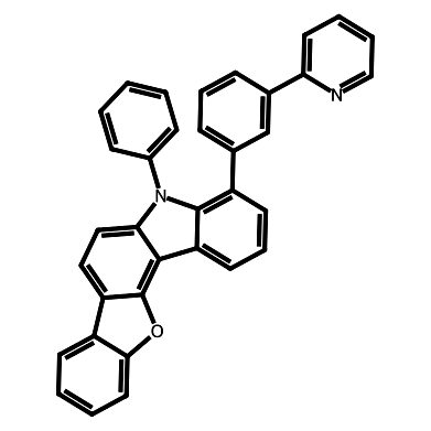 c1ccc(-n2c3ccc4c5ccccc5oc4c3c3cccc(-c4cccc(-c5ccccn5)c4)c32)cc1